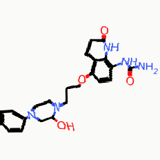 NC(=O)Nc1ccc(OCCCN2CCN(c3ccccc3)CC2O)c2c1NC(=O)CC2